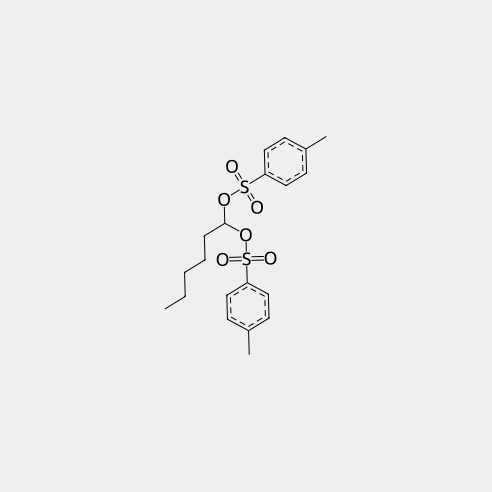 CCCCCC(OS(=O)(=O)c1ccc(C)cc1)OS(=O)(=O)c1ccc(C)cc1